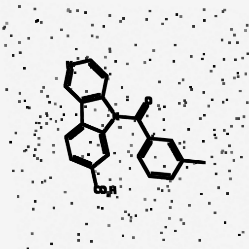 Cc1cccc(C(=O)n2c3ccncc3c3ccc(C(=O)O)cc32)c1